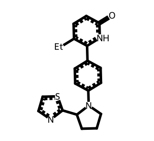 CCc1ccc(=O)[nH]c1-c1ccc(N2CCCC2c2nccs2)cc1